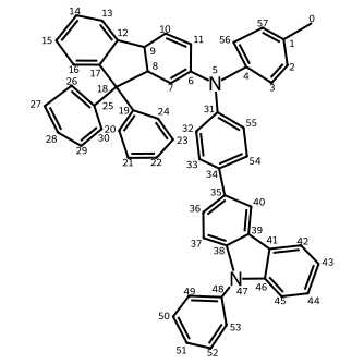 Cc1ccc(N(C2=CC3C(C=C2)c2ccccc2C3(c2ccccc2)c2ccccc2)c2ccc(-c3ccc4c(c3)c3ccccc3n4-c3ccccc3)cc2)cc1